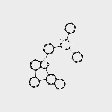 c1ccc(-c2nc(-c3ccccc3)nc(-c3cccc(-n4cc5c6c(cccc64)-c4ccccc4-c4cc6ccccc6cc4-5)c3)n2)cc1